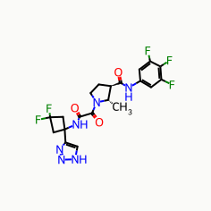 C[C@H]1[C@H](C(=O)Nc2cc(F)c(F)c(F)c2)CCN1C(=O)C(=O)NC1(c2c[nH]nn2)CC(F)(F)C1